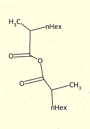 CCCCCCC(C)C(=O)OC(=O)C(C)CCCCCC